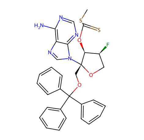 CSC(=S)O[C@H]1[C@@H](F)CO[C@]1(COC(c1ccccc1)(c1ccccc1)c1ccccc1)n1cnc2c(N)ncnc21